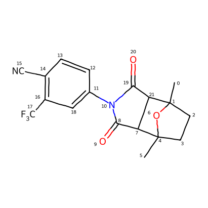 CC12CCC(C)(O1)C1C(=O)N(c3ccc(C#N)c(C(F)(F)F)c3)C(=O)C12